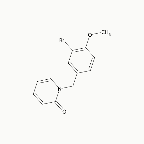 COc1ccc(Cn2ccccc2=O)cc1Br